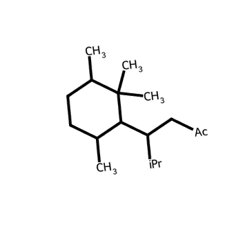 CC(=O)CC(C(C)C)C1C(C)CCC(C)C1(C)C